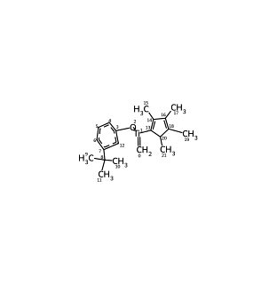 [CH2]=[Ti]([O]c1cccc(C(C)(C)C)c1)[C]1=C(C)C(C)=C(C)C1C